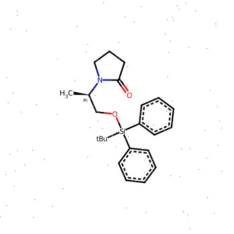 C[C@H](CO[Si](c1ccccc1)(c1ccccc1)C(C)(C)C)N1CCCC1=O